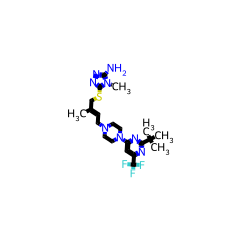 C/C(=C\CN1CCN(c2cc(C(F)(F)F)nc(C(C)(C)C)n2)CC1)CSc1nnc(N)n1C